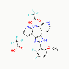 COc1ccc(F)c(F)c1-c1nc2c([nH]1)-c1ccncc1Nc1ncccc1-2.O=C(O)C(F)(F)F.O=C(O)C(F)(F)F